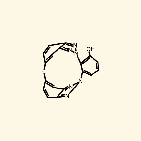 Oc1cccc2c1-n1nc3ccc(cc3n1)Cc1ccc3nn-2nc3c1